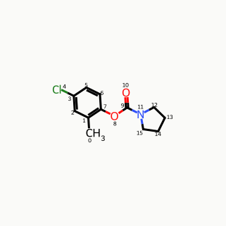 Cc1cc(Cl)ccc1OC(=O)N1CCCC1